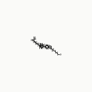 CCCCCCCCOc1ccc(-c2cnc(CCCCC[C@@H](C)CC)nc2)cc1